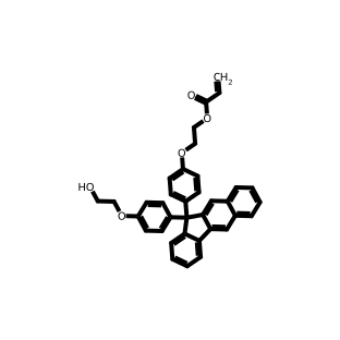 C=CC(=O)OCCOc1ccc(C2(c3ccc(OCCO)cc3)c3ccccc3-c3cc4ccccc4cc32)cc1